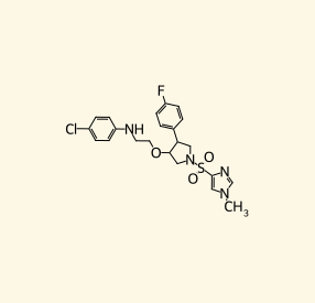 Cn1cnc(S(=O)(=O)N2CC(OCCNc3ccc(Cl)cc3)C(c3ccc(F)cc3)C2)c1